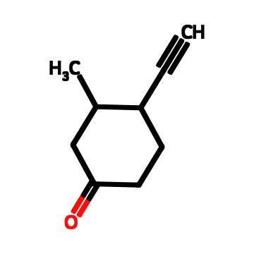 C#CC1CCC(=O)CC1C